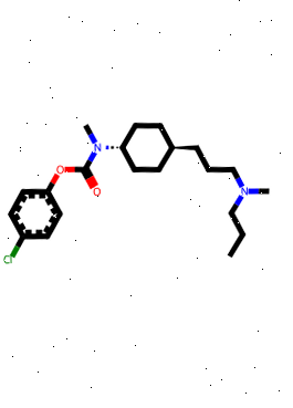 CCCN(C)CCC[C@H]1CC[C@H](N(C)C(=O)Oc2ccc(Cl)cc2)CC1